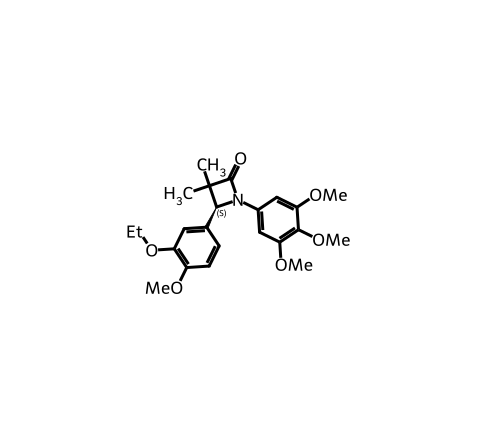 CCOc1cc([C@@H]2N(c3cc(OC)c(OC)c(OC)c3)C(=O)C2(C)C)ccc1OC